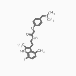 Cc1[nH]c2c(F)ccc(C)c2c1CCNC(=O)COc1ccc(CN(C)C)cc1